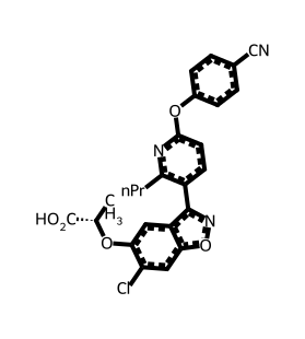 CCCc1nc(Oc2ccc(C#N)cc2)ccc1-c1noc2cc(Cl)c(O[C@@H](C)C(=O)O)cc12